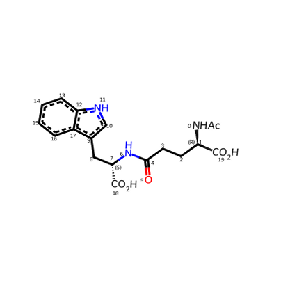 CC(=O)N[C@H](CCC(=O)N[C@@H](Cc1c[nH]c2ccccc12)C(=O)O)C(=O)O